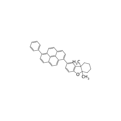 CC12CCCCC1(C)c1cc(-c3ccc4ccc5c(-c6ccccc6)ccc6ccc3c4c65)ccc1O2